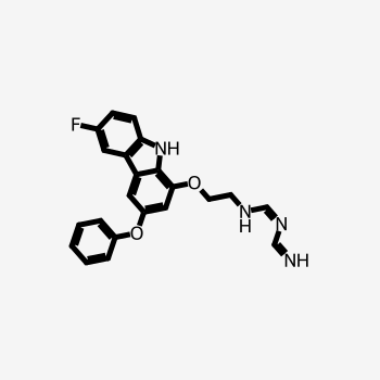 N=C/N=C\NCCOc1cc(Oc2ccccc2)cc2c1[nH]c1ccc(F)cc12